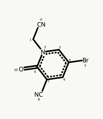 N#CCn1cc(Br)cc(C#N)c1=O